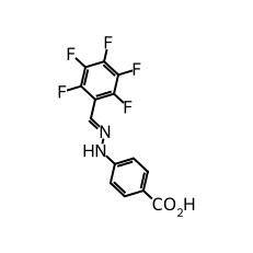 O=C(O)c1ccc(N/N=C/c2c(F)c(F)c(F)c(F)c2F)cc1